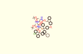 COc1ccc(C(SC[C@H](NC(=O)[C@H](CC(=O)OC(C)(C)C)NC(=O)[C@H](CC(=O)OC(C)(C)C)NC(=O)OCC2c3ccccc3-c3ccccc32)C(=O)OC(c2ccccc2)(c2ccc(C3CCCCC3)cc2)c2ccccc2Cl)(c2ccccc2)c2ccccc2)cc1